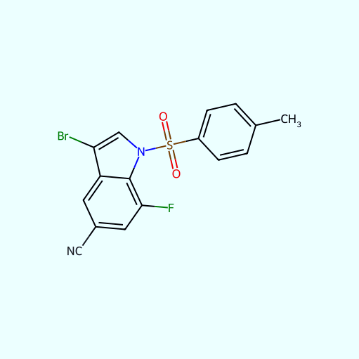 Cc1ccc(S(=O)(=O)n2cc(Br)c3cc(C#N)cc(F)c32)cc1